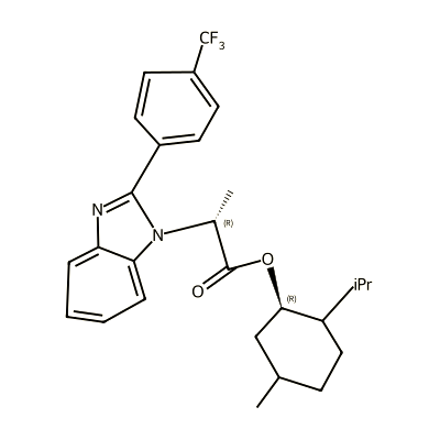 CC1CCC(C(C)C)[C@H](OC(=O)[C@@H](C)n2c(-c3ccc(C(F)(F)F)cc3)nc3ccccc32)C1